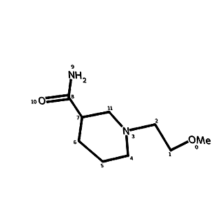 COCCN1C[CH]CC(C(N)=O)C1